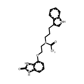 O=C(N(CCCc1c[nH]c2ccccc12)CCOc1cccc2[nH]c(=O)[nH]c12)C(F)(F)F